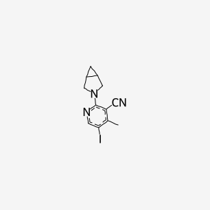 Cc1c(I)cnc(N2CC3CC3C2)c1C#N